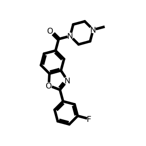 CN1CCN(C(=O)c2ccc3oc(-c4cccc(F)c4)nc3c2)CC1